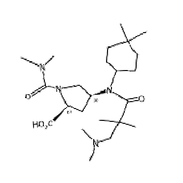 CN(C)CC(C)(C)C(=O)N(C1CCC(C)(C)CC1)[C@H]1C[C@@H](C(=O)O)N(C(=O)N(C)C)C1